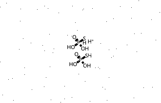 O=P(O)(O)S.O=P(O)(O)S.[H+]